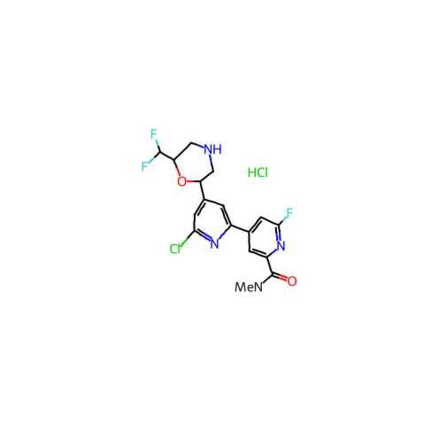 CNC(=O)c1cc(-c2cc(C3CNCC(C(F)F)O3)cc(Cl)n2)cc(F)n1.Cl